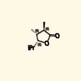 CC(C)[C@H]1OC(=O)[C@H](C)[C@H]1C